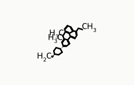 C=C[C@H]1CC[C@H](c2ccc3c(c2)C(C)(C)c2cccc4c(CCC)ccc-3c24)CC1